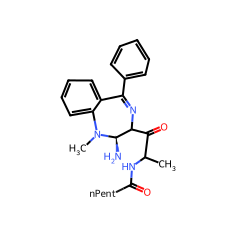 CCCCCC(=O)NC(C)C(=O)C1N=C(c2ccccc2)c2ccccc2N(C)[C@@H]1N